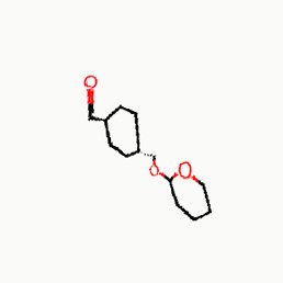 O=C[C@H]1CC[C@H](COC2CCCCO2)CC1